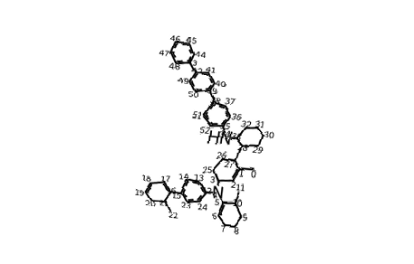 CC1=CC(N(C2=CCCCC2C)c2ccc(C3=CC=CCC3C)cc2)CCC1C1CCCCC1Nc1ccc(-c2ccc(-c3ccccc3)cc2)cc1